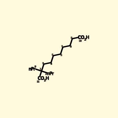 CCCC(CCC)(CCCCCCCC(=O)O)C(=O)O